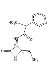 NC[C@H]1NC(=O)[C@H]1NC(=O)C(C(=O)O)c1ccccc1